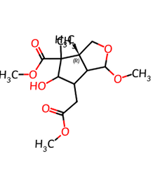 COC(=O)CC1C(O)C(C)(C(=O)OC)[C@]2(C)COC(OC)C12